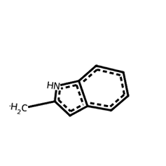 [CH2]c1cc2ccccc2[nH]1